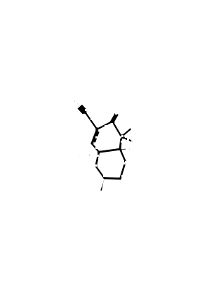 CC1(C)C(=O)C(C#N)=C[C@]2(C)C[C@H](F)CC[C@H]12